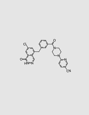 N#Cc1ccc(N2CCN(C(=O)c3cccc(Cc4cc(Cl)cc5c(=O)[nH]ncc45)c3)CC2)nc1